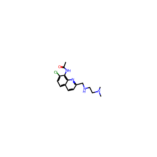 CC(=O)Nc1c(Cl)ccc2ccc(CNCCN(C)C)nc12